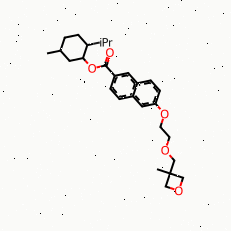 CC1CCC(C(C)C)C(OC(=O)c2ccc3cc(OCCOCC4(C)COC4)ccc3c2)C1